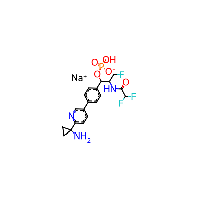 NC1(c2ccc(-c3ccc(C(OP(=O)([O-])O)C(CF)NC(=O)C(F)F)cc3)cn2)CC1.[Na+]